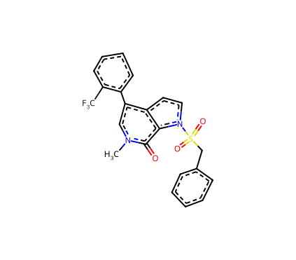 Cn1cc(-c2ccccc2C(F)(F)F)c2ccn(S(=O)(=O)Cc3ccccc3)c2c1=O